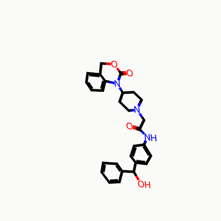 O=C(CN1CCC(N2C(=O)OCc3ccccc32)CC1)Nc1ccc(C(O)c2ccccc2)cc1